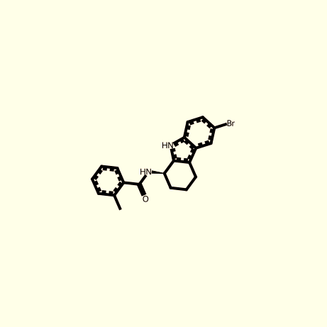 Cc1ccccc1C(=O)N[C@@H]1CCCc2c1[nH]c1ccc(Br)cc21